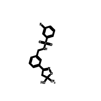 O=S(=O)(NCc1cccc(C2=NOC(O)(C(F)(F)F)C2)c1)c1cccc(F)c1